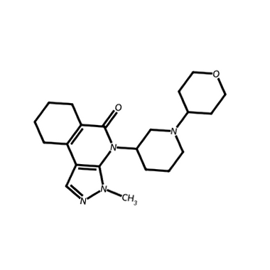 Cn1ncc2c3c(c(=O)n(C4CCCN(C5CCOCC5)C4)c21)CCCC3